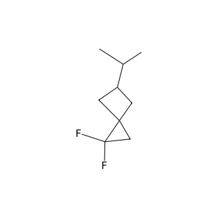 CC(C)C1CC2(C1)CC2(F)F